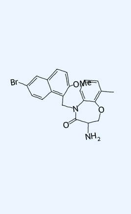 COc1ccc2cc(Br)ccc2c1CN1C(=O)C(N)COc2c(C)cccc21